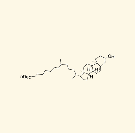 CCCCCCCCCCCCCCCCCC(C)CCCC(C)[C@H]1CC[C@H]2[C@@H]3CC=C4C[C@@H](O)CC[C@]4(C)[C@H]3CC[C@]12C